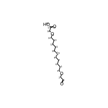 O=CCOCCCCCSCCCCCOCC(=O)O